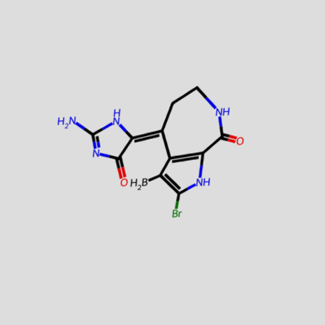 Bc1c(Br)[nH]c2c1/C(=C1/NC(N)=NC1=O)CCNC2=O